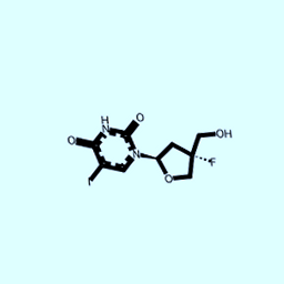 O=c1[nH]c(=O)n([C@H]2C[C@@](F)(CO)CO2)cc1I